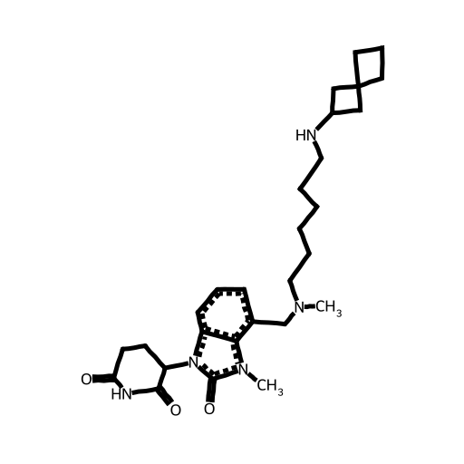 CN(CCCCCCNC1CC2(CCC2)C1)Cc1cccc2c1n(C)c(=O)n2C1CCC(=O)NC1=O